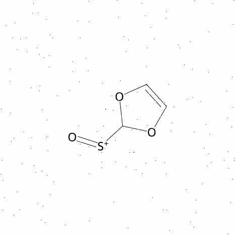 O=[S+]C1OC=CO1